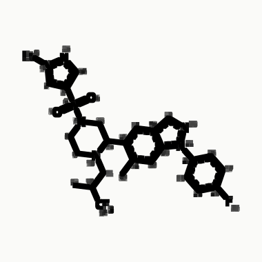 CCn1cc(S(=O)(=O)N2CCN(CC(C)C(F)(F)F)C(c3cc4cnn(-c5ccc(F)cc5)c4cc3C)C2)cn1